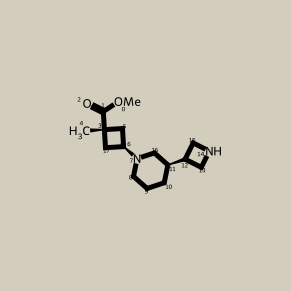 COC(=O)[C@]1(C)C[C@@H](N2CCC[C@H](C3CNC3)C2)C1